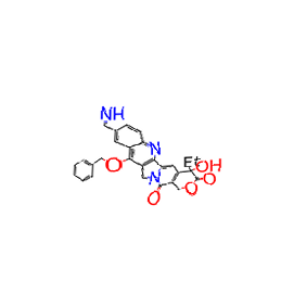 CCC1(O)C(=O)OCc2c1cc1n(c2=O)Cc2c-1nc1ccc(C=N)cc1c2OCc1ccccc1